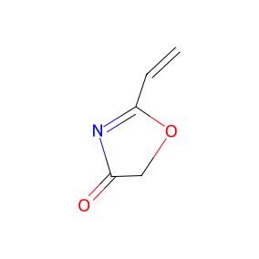 C=CC1=NC(=O)CO1